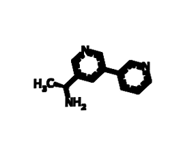 C[C@H](N)c1cncc(-c2cccnc2)c1